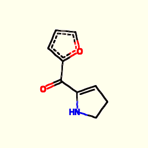 O=C(C1=CCCN1)c1ccco1